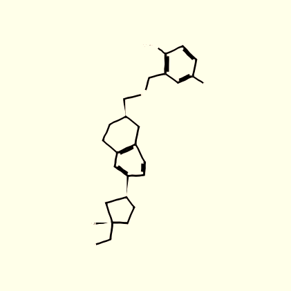 COc1ccc(F)cc1COC[C@@H]1CCc2cc([C@H]3CC[C@](N)(CO)C3)ccc2C1